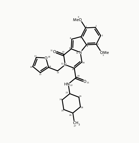 COc1ccc(OC)c2c1cc1c(=O)n(Cc3ccco3)c(C(=O)NC3CCC(C)CC3)cn12